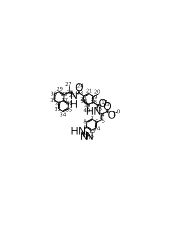 COC(=O)/C(=C/c1ccc2[nH]nnc2c1)NC(=O)c1c(C)cc(C(=O)N[C@H](C)c2cccc3ccccc23)cc1C